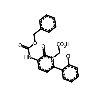 O=C(O)Cn1c(-c2ccccc2Cl)ccc(NC(=O)OCc2ccccc2)c1=O